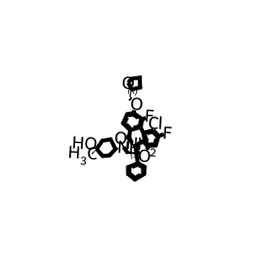 C[C@]1(O)CC[C@H](NC[C@@]2(c3ccccc3)Cc3c(cc(F)c(Cl)c3-c3c(C(N)=O)ccc(OC[C@H]4CCCO4)c3F)O2)CC1